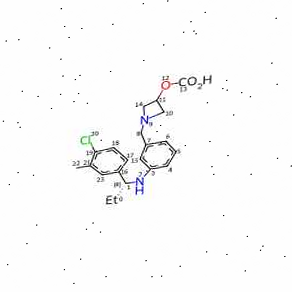 CC[C@@H](Nc1cccc(CN2CC(OC(=O)O)C2)c1)c1ccc(Cl)c(C)c1